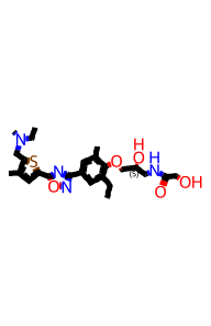 CCc1cc(-c2noc(-c3cc(C)c(CN(C)CC)s3)n2)cc(C)c1OC[C@@H](O)CNC(=O)CO